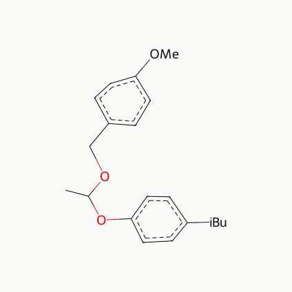 CCC(C)c1ccc(OC(C)OCc2ccc(OC)cc2)cc1